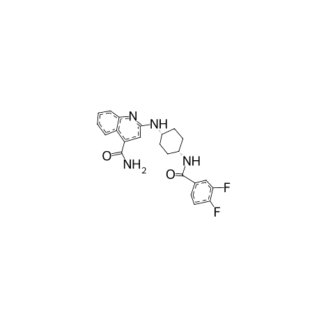 NC(=O)c1cc(N[C@H]2CC[C@@H](NC(=O)c3ccc(F)c(F)c3)CC2)nc2ccccc12